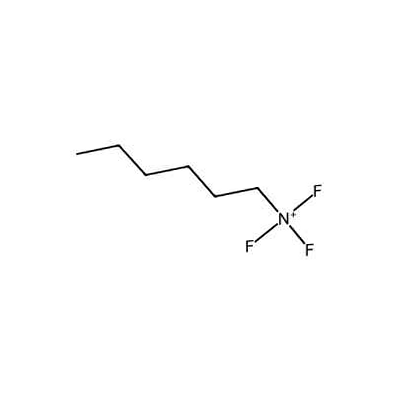 CCCCCC[N+](F)(F)F